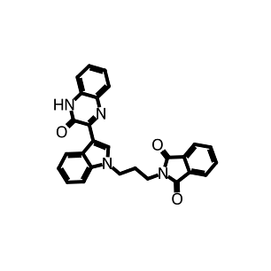 O=C1c2ccccc2C(=O)N1CCCn1cc(-c2nc3ccccc3[nH]c2=O)c2ccccc21